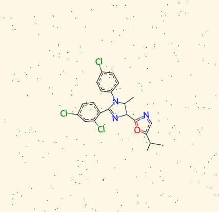 CC(C)c1cnc(C2N=C(c3ccc(Cl)cc3Cl)N(c3ccc(Cl)cc3)C2C)o1